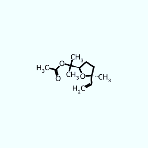 C=C[C@]1(C)CC[C@H](C(C)(C)OC(C)=O)O1